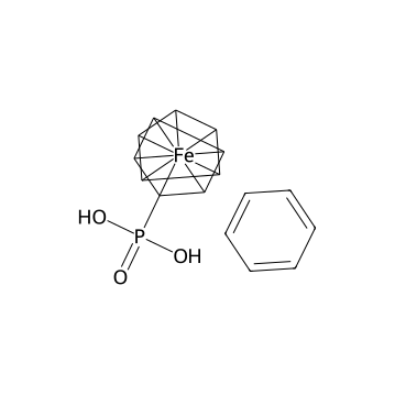 O=P(O)(O)[C]12[CH]3[CH]4[CH]5[CH]1[Fe]45321678[CH]2[CH]1[CH]6[CH]7[CH]28.c1ccccc1